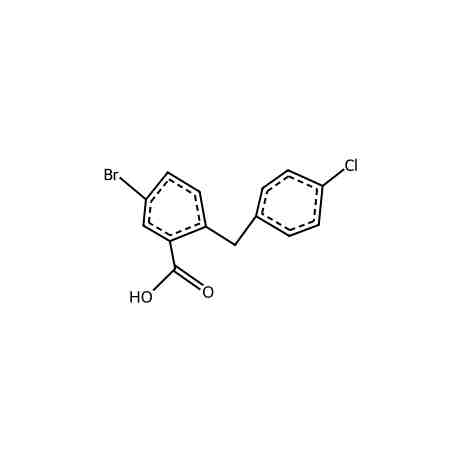 O=C(O)c1cc(Br)ccc1Cc1ccc(Cl)cc1